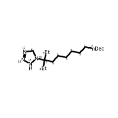 CCCCCCCCCCCCCCCCC(CC)(CC)N1CN=NN1